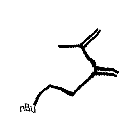 C=C(C)C(=C)CCCCCC